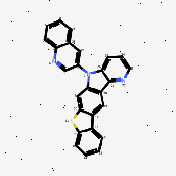 c1ccc2ncc(-n3c4cc5sc6ccccc6c5cc4c4ncccc43)cc2c1